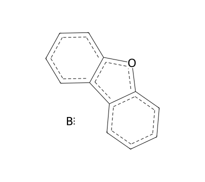 [B].c1ccc2c(c1)oc1ccccc12